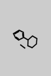 CC.c1ccc(C2CCCCC2)cc1